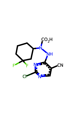 N#Cc1cnc(Cl)nc1NN(C(=O)O)C1CCCC(F)(F)C1